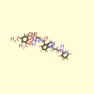 Cc1cc(C)c(S(=O)(=O)NC(CNC(=O)c2cccc3c2cnn3CCCNc2ccccn2)C(=O)O)c(C)c1